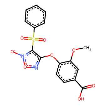 COc1cc(C(=O)O)ccc1Oc1no[n+]([O-])c1S(=O)(=O)c1ccccc1